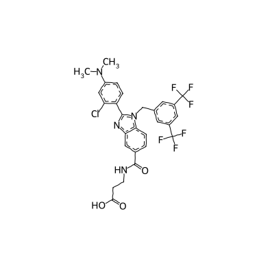 CN(C)c1ccc(-c2nc3cc(C(=O)NCCC(=O)O)ccc3n2Cc2cc(C(F)(F)F)cc(C(F)(F)F)c2)c(Cl)c1